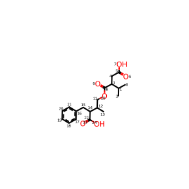 CC(C)C(CC(=O)O)C(=O)OCC(C)C(Cc1ccccc1)C(=O)O